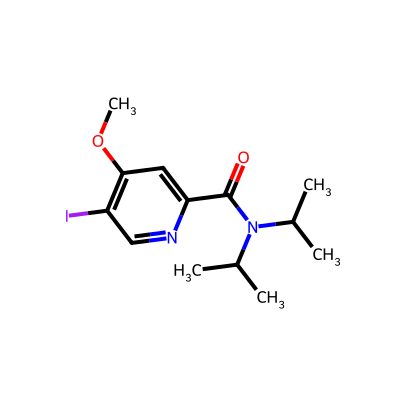 COc1cc(C(=O)N(C(C)C)C(C)C)ncc1I